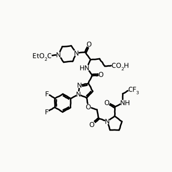 CCOC(=O)N1CCN(C(=O)C(CCC(=O)O)NC(=O)c2cc(OCC(=O)N3CCCC3C(=O)NCC(F)(F)F)n(-c3ccc(F)c(F)c3)n2)CC1